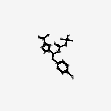 CC(C)(C)OC(=O)NC(Cc1ccc(Cl)cc1)c1nnc(C(=O)O)o1